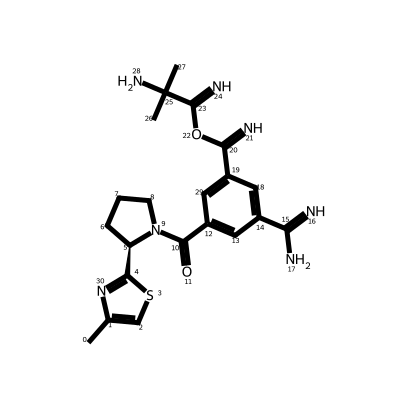 Cc1csc([C@H]2CCCN2C(=O)c2cc(C(=N)N)cc(C(=N)OC(=N)C(C)(C)N)c2)n1